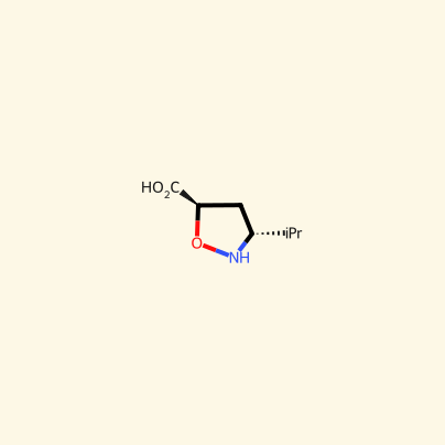 CC(C)[C@H]1C[C@H](C(=O)O)ON1